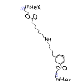 CCCCCC/C=C\COC(=O)CCCCCCCNCCCCCc1cccc(C(=O)OC/C=C\CCCCCC)c1